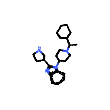 C[C@H](C1CCCCC1)N1CCC(n2c([C@H]3CCNC3)nc3ccccc32)CC1